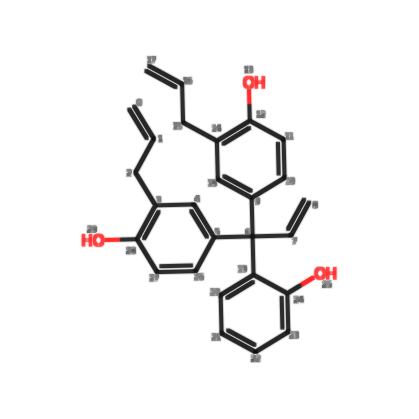 C=CCc1cc(C(C=C)(c2ccc(O)c(CC=C)c2)c2ccccc2O)ccc1O